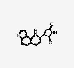 O=C1C=C(c2ccc3ccc4nccc4c3[nH]2)C(=O)N1